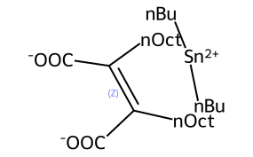 CCCCCCCC/C(C(=O)[O-])=C(\CCCCCCCC)C(=O)[O-].CCC[CH2][Sn+2][CH2]CCC